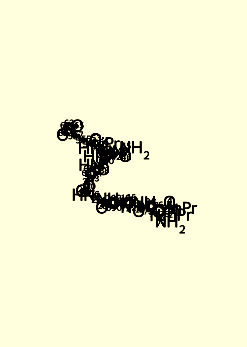 CCCN(CCC)C(=O)C1=Cc2ccc(C(=O)Nc3ccc(N4CCC(C(=O)NCCNC(=O)OCc5ccc(NC(=O)C(CCCNC(N)=O)NC(=O)C(NC(=O)CCCCCN6C(=O)C=CC6=O)C(C)C)cc5)CC4)nc3)cc2N=C(N)C1